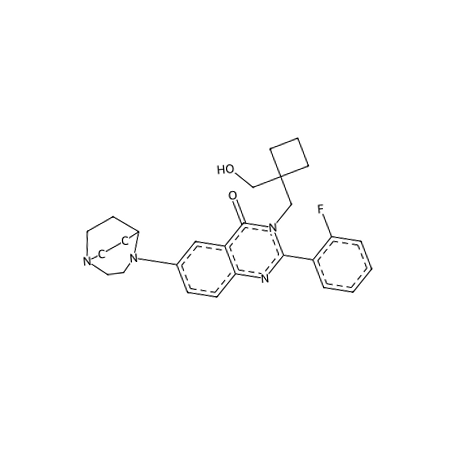 O=c1c2cc(N3CCN4CCC3CC4)ccc2nc(-c2ccccc2F)n1CC1(CO)CCC1